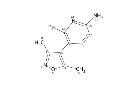 Cc1noc(C)c1-c1ccc(N)nc1F